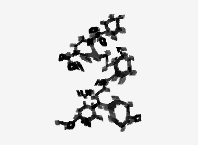 COc1ccc([C@H](c2ccc(Cl)cc2)[C@H](N)CNc2cccc(F)c2CCC2CN(C(=O)O)CCN2S(=O)(=O)c2ccccc2)cn1